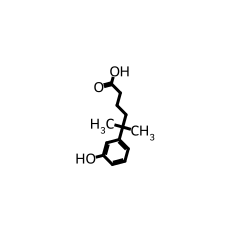 CC(C)(CCCC(=O)O)c1cccc(O)c1